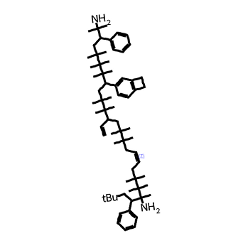 C=CC(CC(C)(C)C(C)(C)C/C=C\CC(C)(C)C(C)(C)C(C)(N)C(CC(C)(C)C)c1ccccc1)C(C)(C)C(C)(C)CC(c1ccc2c(c1)CC2)C(C)(C)C(C)(C)C(C)(C)CC(c1ccccc1)C(C)(C)N